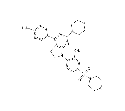 Cc1cc(S(=O)(=O)N2CCOCC2)ccc1N1CCc2c(-c3cnc(N)nc3)nc(N3CCOCC3)nc21